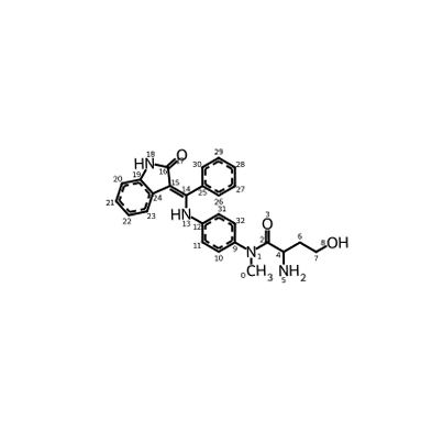 CN(C(=O)C(N)CCO)c1ccc(NC(=C2C(=O)Nc3ccccc32)c2ccccc2)cc1